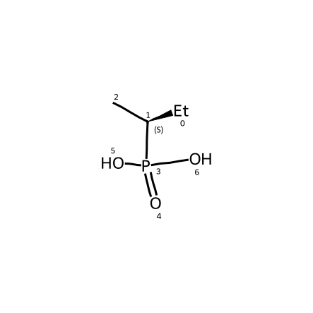 CC[C@H](C)P(=O)(O)O